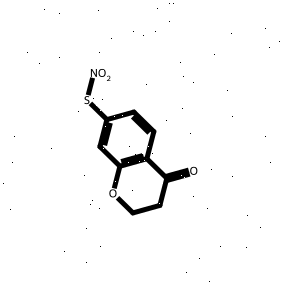 O=C1CCOc2cc(S[N+](=O)[O-])ccc21